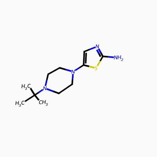 CC(C)(C)N1CCN(c2cnc(N)s2)CC1